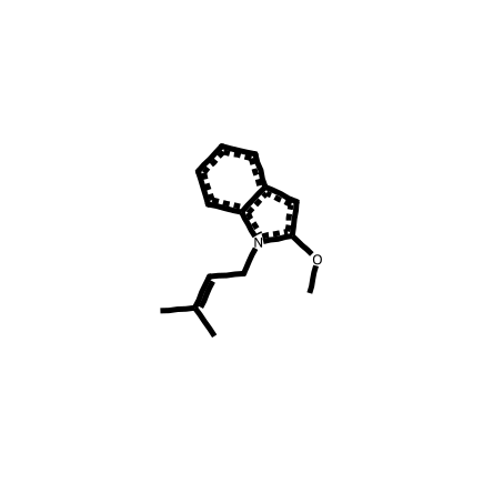 COc1cc2ccccc2n1CC=C(C)C